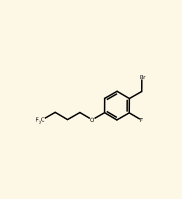 Fc1cc(OCCCC(F)(F)F)ccc1CBr